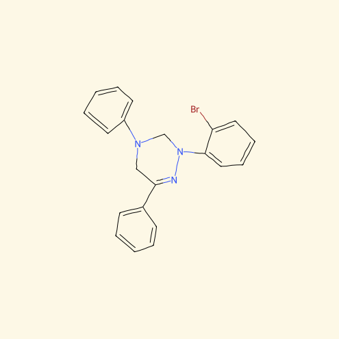 Brc1ccccc1N1CN(c2ccccc2)CC(c2ccccc2)=N1